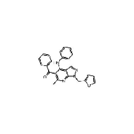 Cc1nc2c(cnn2Cc2ccco2)c(Nc2ccccc2)c1C(=O)c1ccccc1